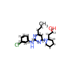 CCCc1cc(N2CCCCC2CCO)nc(Nc2cccc(Cl)c2)n1